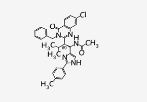 CC(=O)NC(c1c[nH]c(-c2ccc(C)cc2)n1)[C@H](c1nc2cc(Cl)ccc2c(=O)n1Cc1ccccc1)C(C)C